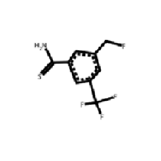 NC(=S)c1cc(CF)cc(C(F)(F)F)c1